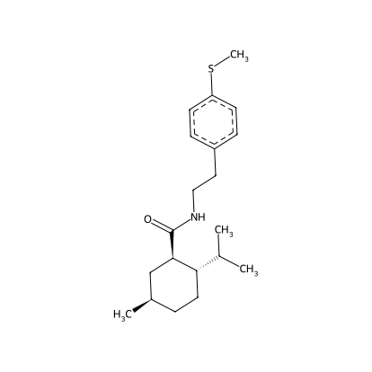 CSc1ccc(CCNC(=O)[C@@H]2C[C@H](C)CC[C@H]2C(C)C)cc1